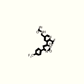 CC(C)C(=O)NCc1cnc(C(F)F)c(-c2cc(-c3ccc(C(F)(F)F)cc3)nc(=O)[nH]2)c1